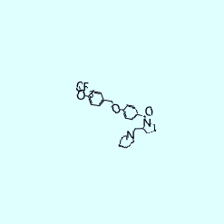 O=C(c1ccc(OCc2ccc(OC(F)(F)F)cc2)cc1)N1CCCC1CN1CCCC1